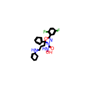 O=C(NO)N1N=C(c2cc(F)ccc2F)OC1(CCCNC1C=CCCC1)c1ccccc1